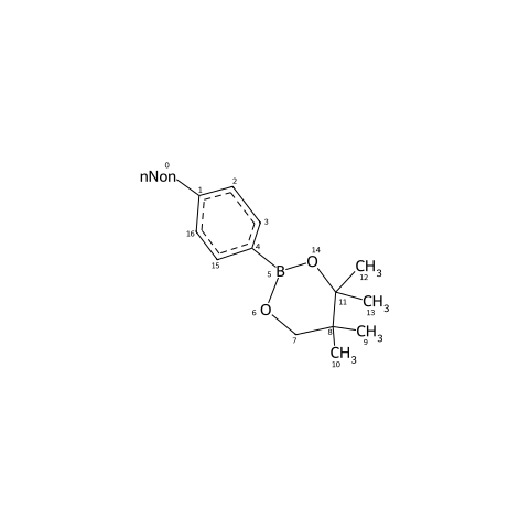 CCCCCCCCCc1ccc(B2OCC(C)(C)C(C)(C)O2)cc1